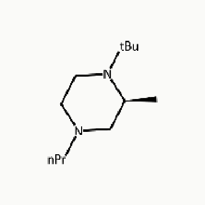 CCCN1CCN(C(C)(C)C)[C@@H](C)C1